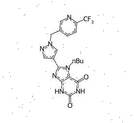 CCCCn1c(-c2cnn(Cc3ccc(C(F)(F)F)nc3)c2)nc2[nH]c(=O)[nH]c(=O)c21